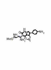 CO/C(N)=C/C=C(\N)n1c(=O)[nH]n2cc(-c3ccc(N)cc3)c(CN(C)C)c2c1=O